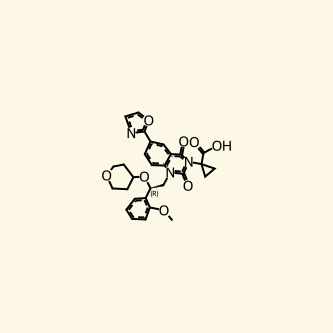 COc1ccccc1[C@H](Cn1c(=O)n(C2(C(=O)O)CC2)c(=O)c2cc(-c3ncco3)ccc21)OC1CCOCC1